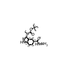 CN(C(=O)OC(C)(C)C)c1n[nH]c2ccc(C(=O)NN)cc12